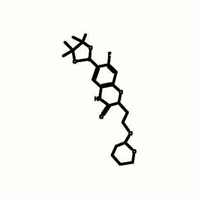 CC1(C)OB(c2cc3c(cc2F)OC(CCOC2CCCCO2)C(=O)N3)OC1(C)C